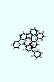 C1=CC2c3ccc4c5ccccc5n(-c5ccccc5-c5ccccc5)c4c3N(c3ccc(-c4ccccc4)cc3)C2C=C1